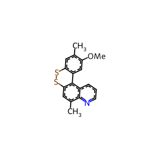 COc1cc2c(cc1C)SSc1cc(C)c3ncccc3c1-2